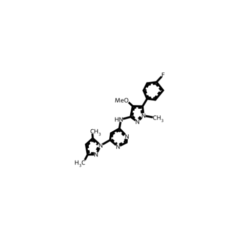 COc1c(Nc2cc(-n3nc(C)cc3C)ncn2)nn(C)c1-c1ccc(F)cc1